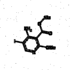 COc1ncc(I)c(N)c1C(=O)OC(C)(C)C